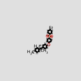 CCc1ccc(S(=O)(=O)c2ccc(Oc3ccc(C(C)(C)c4ccc(C)cc4)cc3)cc2)cc1